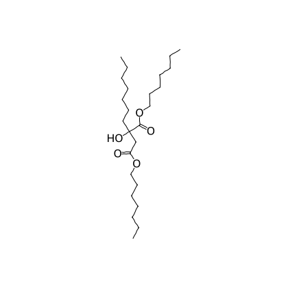 CCCCCCCOC(=O)CC(O)(CCCCCCC)C(=O)OCCCCCCC